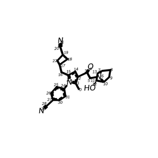 Cc1c(C(=O)CN2C3CCC2[C@@H](O)C3)cc(CC2CC(C#N)C2)n1-c1ccc(C#N)cc1